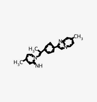 C/C(=C\n1ccc(C)cc1=N)c1ccc(-c2cn3ccc(C)cc3n2)cc1